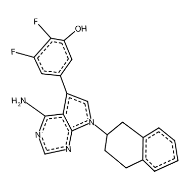 Nc1ncnc2c1c(-c1cc(O)c(F)c(F)c1)cn2C1CCc2ccccc2C1